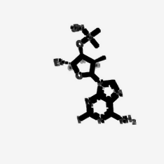 CC[C@H]1OC(n2cnc3c(N)nc(I)nc32)[C@H](C)[C@@H]1O[Si](C)(C)C(C)(C)C